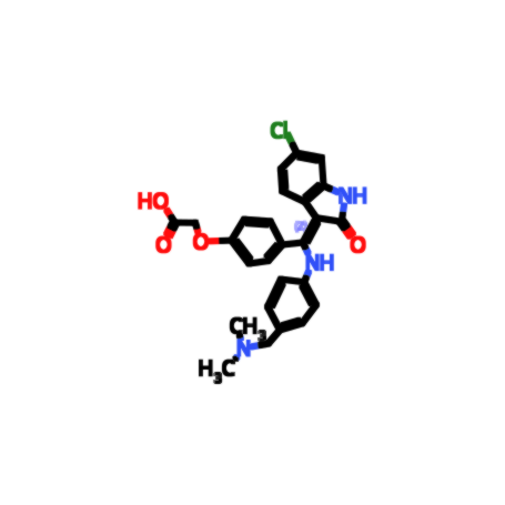 CN(C)Cc1ccc(N/C(=C2\C(=O)Nc3cc(Cl)ccc32)c2ccc(OCC(=O)O)cc2)cc1